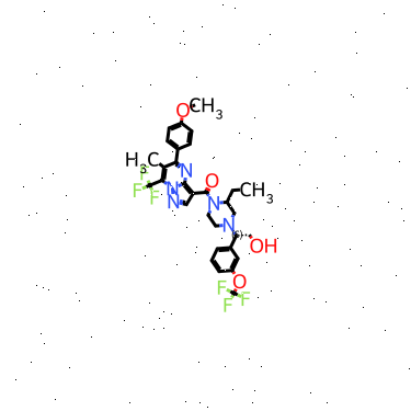 CCC1CN([C@H](CO)c2cccc(OC(F)(F)F)c2)CCN1C(=O)c1cnn2c(C(F)(F)F)c(C)c(-c3ccc(OC)cc3)nc12